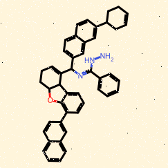 NN/C(=N\C(C1=CCCC2Oc3c(-c4ccc5ccccc5c4)cccc3C12)c1ccc2ccc(C3CC=CCC3)cc2c1)c1ccccc1